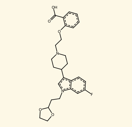 O=C(O)c1ccccc1OCCN1CCC(c2cn(CCC3OCCO3)c3cc(F)ccc23)CC1